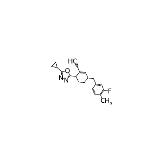 C#CC1=CC(Cc2ccc(C)c(F)c2)CCC1c1nnc(C2CC2)o1